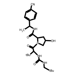 CC(NC(=O)C1CC(O)CN1C(=O)C(NC(=O)NCC(C)(C)C)C(C)(C)C)c1ccc(C#N)cc1